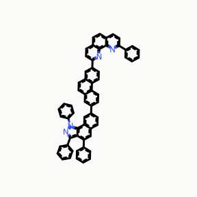 c1ccc(-c2ccc3ccc4ccc(-c5ccc6c(ccc7cc(-c8ccc9cc(-c%10ccccc%10)c%10c(-c%11ccccc%11)nn(-c%11ccccc%11)c%10c9c8)ccc76)c5)nc4c3n2)cc1